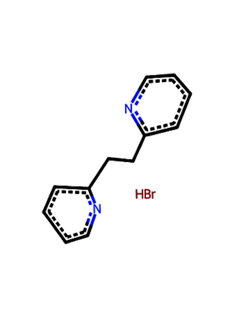 Br.c1ccc(CCc2ccccn2)nc1